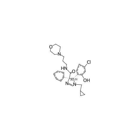 O=C(NCCCN1CCOCC1)[C@]1(c2ccccc2)N=CN(CC2CC2)[C@H]1c1ccc(Cl)cc1O